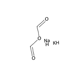 O=COC=O.[KH].[NaH]